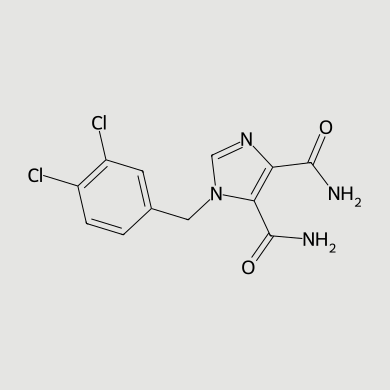 NC(=O)c1ncn(Cc2ccc(Cl)c(Cl)c2)c1C(N)=O